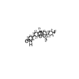 C=CCC1(c2ccc(F)cc2)CCN([C@@H](C)c2ccc(-c3ccc(=O)[nH]c3)cc2)C(=O)O1